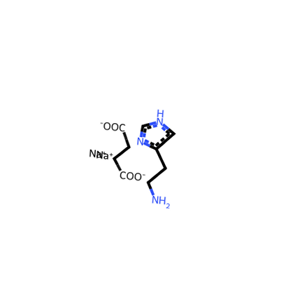 NCCc1c[nH]cn1.O=C([O-])CCC(=O)[O-].[Na+].[Na+]